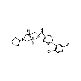 Fc1ccc(Cl)c(-c2ccc(N[C@H]3C[C@@H]4CN(C5CCCC5)C[C@@H]4C3)nn2)c1